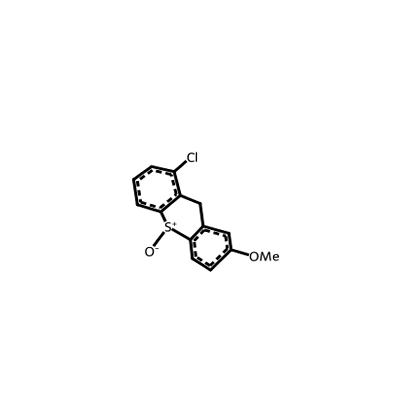 COc1ccc2c(c1)Cc1c(Cl)cccc1[S+]2[O-]